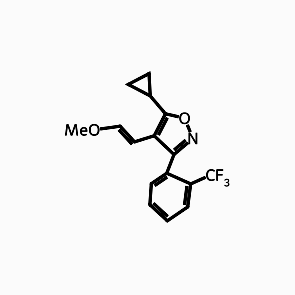 CO/C=C/c1c(-c2ccccc2C(F)(F)F)noc1C1CC1